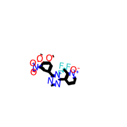 COc1cc(-c2ncnc(-c3ccc[n+]([O-])c3C(F)(F)F)n2)cc([N+](=O)[O-])c1OC